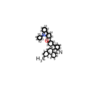 C[C@H]1C=CC2=C(C1)C1C=CCCC1C(c1c(C#N)cccc1C1=CC3=C(CC1)OC1c4c(c5ccccc5n4-c4ccccc4)C=CC31)CC2